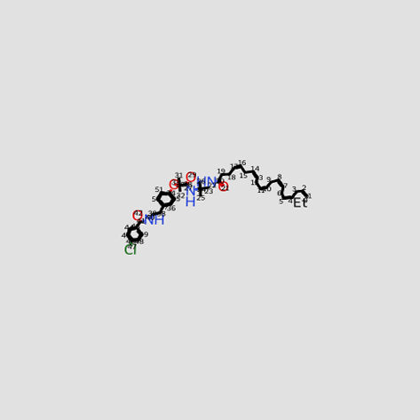 CC/C=C\C/C=C\C/C=C\C/C=C\C/C=C\C/C=C\CCC(=O)NCC(C)(C)NC(=O)C(C)(C)Oc1ccc(CCNC(=O)c2ccc(Cl)cc2)cc1